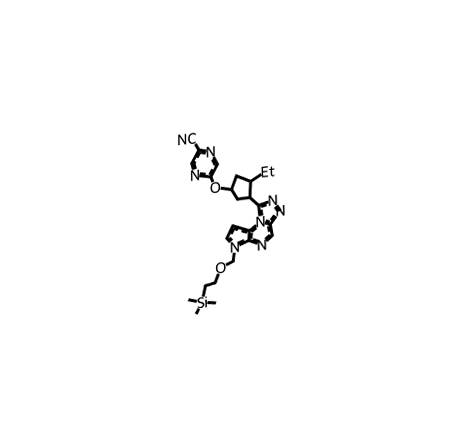 CCC1CC(Oc2cnc(C#N)cn2)CC1c1nnc2cnc3c(ccn3COCC[Si](C)(C)C)n12